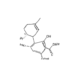 CCCCCc1cc(O)c(C2C=C(C)CC[C@H]2C(C)C)c(O)c1C(=O)OC